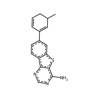 CC1C=C(c2ccc3c(c2)sc2c(N)ncnc23)C=CC1